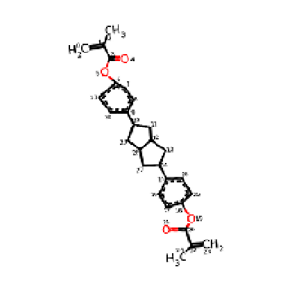 C=C(C)C(=O)Oc1ccc(C2CC3CC(c4ccc(OC(=O)C(=C)C)cc4)CC3C2)cc1